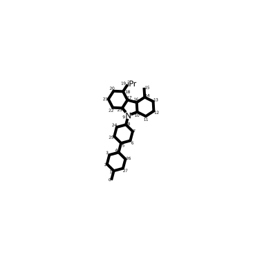 CC1CCC(C2CCC(N3C4CCCC(C)C4C4C(C(C)C)CCCC43)CC2)CC1